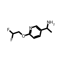 CC(N)c1ccc(OCC(F)F)nc1